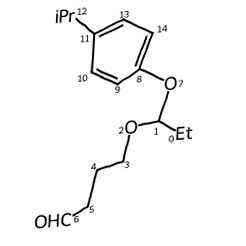 CCC(OCCCC=O)Oc1ccc(C(C)C)cc1